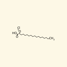 CCCCCCCCCCCCCCCCC(OCCl)C(=O)O